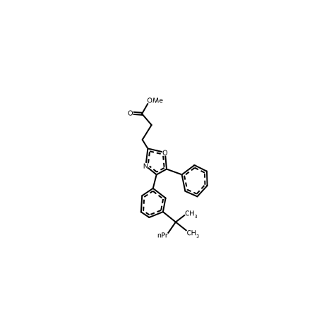 CCCC(C)(C)c1cccc(-c2nc(CCC(=O)OC)oc2-c2ccccc2)c1